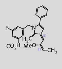 C=c1/c(=C\C(=C/C)OC)cc(-c2ccccc2)n1Cc1cc(F)cc(C(=O)O)c1